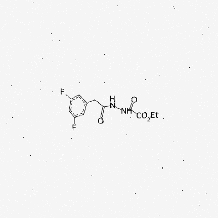 CCOC(=O)C(=O)NNC(=O)Cc1cc(F)cc(F)c1